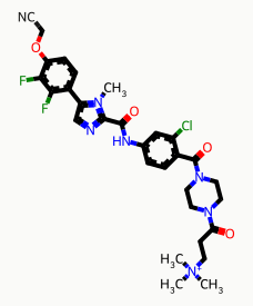 Cn1c(-c2ccc(OCC#N)c(F)c2F)cnc1C(=O)Nc1ccc(C(=O)N2CCN(C(=O)CC[N+](C)(C)C)CC2)c(Cl)c1